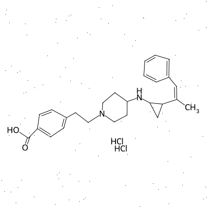 CC(=Cc1ccccc1)C1CC1NC1CCN(CCc2ccc(C(=O)O)cc2)CC1.Cl.Cl